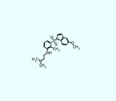 COc1ccc2c(ccn2S(=O)(=O)c2cccc(NCCN(C)C)c2C)c1